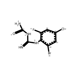 N=C(NC(N)=O)Nc1c(F)cc(Cl)cc1Br